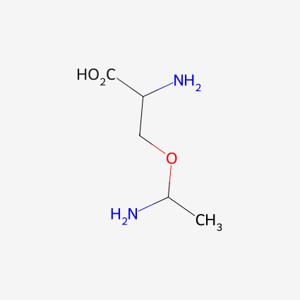 CC(N)OCC(N)C(=O)O